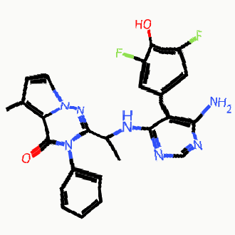 Cc1ccn2nc(C(C)Nc3ncnc(N)c3-c3cc(F)c(O)c(F)c3)n(-c3ccccc3)c(=O)c12